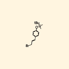 CC(C)(C)[Si](C)(C)Oc1ccc(C=CCBr)cc1